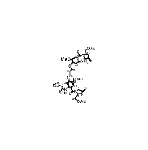 C=C1CC(COC(C)=O)N(C(=O)c2cc(OC)c(OCCCOc3cc(NC(=O)OC(C)(C)C)c(C(=O)N4CC(=C)CC4COC(C)=O)cc3OC)cc2N)C1